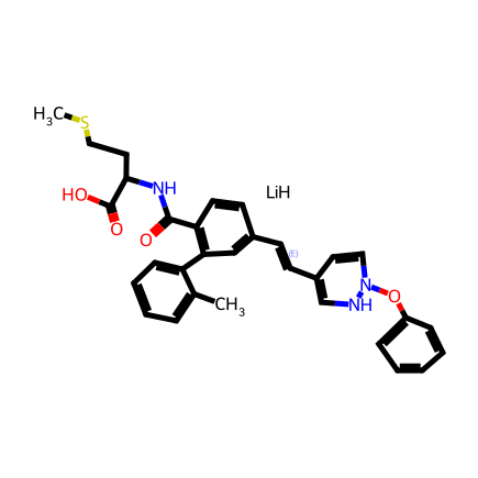 CSCCC(NC(=O)c1ccc(/C=C/C2=CNN(Oc3ccccc3)C=C2)cc1-c1ccccc1C)C(=O)O.[LiH]